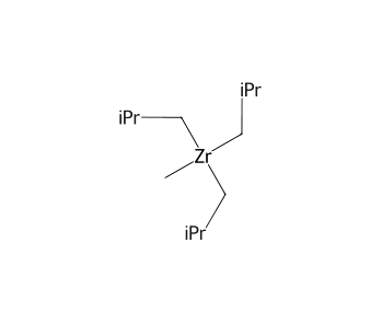 CC(C)[CH2][Zr]([CH3])([CH2]C(C)C)[CH2]C(C)C